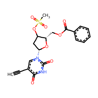 C#Cc1cn([C@@H]2CC(OS(C)(=O)=O)[C@H](COC(=O)c3ccccc3)O2)c(=O)[nH]c1=O